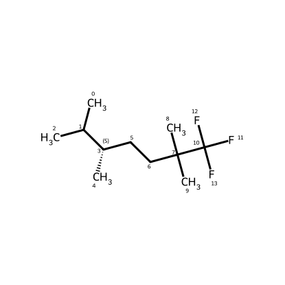 CC(C)[C@@H](C)CCC(C)(C)C(F)(F)F